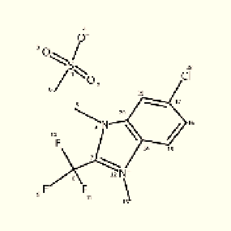 CS(=O)(=O)[O-].Cn1c(C(F)(F)F)[n+](C)c2ccc(Cl)cc21